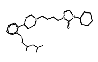 CC(C)CC(C)COc1ccccc1C1CCN(CCCCN2CCN(C3CCCCC3)C2=O)CC1